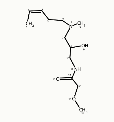 C/C=C\CCN(C)CC(O)CNC(=O)COC